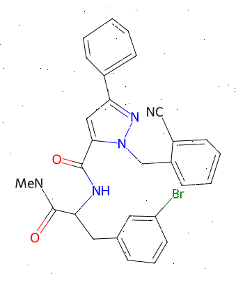 CNC(=O)C(Cc1cccc(Br)c1)NC(=O)c1cc(-c2ccccc2)nn1Cc1ccccc1C#N